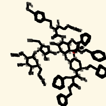 COc1ccc(CO[C@H](C(=O)N[C@H]2[C@H](O)[C@@H](O[C@@H]3O[C@H](CO)[C@@H](O[C@H]4O[C@@H](CN=[N+]=[N-])[C@@H](O)[C@H](O)[C@H]4N=[N+]=[N-])[C@H]3O)[C@H](O[C@H]3O[C@H]([C@@H](C)N(Cc4ccccc4)C(=O)OCc4ccccc4)[C@@H](OCc4ccccc4)C[C@H]3N=[N+]=[N-])[C@@H](NC(=O)OCc3ccccc3)[C@@H]2OCc2ccccc2)[C@H](F)CN=[N+]=[N-])cc1